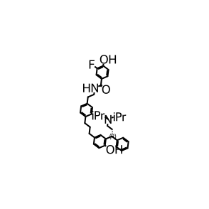 CC(C)N(CC[C@H](c1ccccc1)c1cc(CCCc2ccc(CCNC(=O)c3ccc(O)c(F)c3)cc2)ccc1O)C(C)C